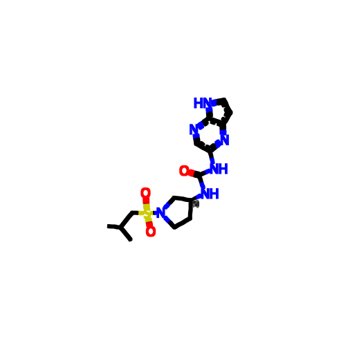 CC(C)CS(=O)(=O)N1CC[C@H](NC(=O)Nc2cnc3[nH]ccc3n2)C1